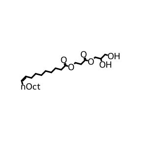 CCCCCCCC/C=C\CCCCCCCC(=O)OCCC(=O)OCC(O)CO